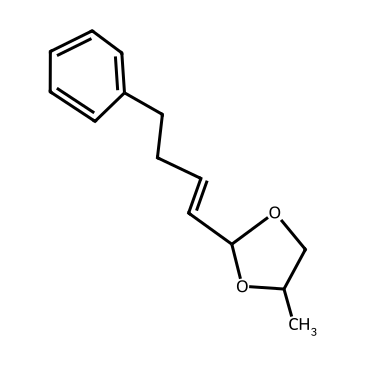 CC1COC(C=CCCc2ccccc2)O1